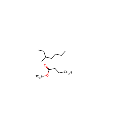 CCCCC(C)CC.O=C(O)CCC(=O)OS(=O)(=O)O